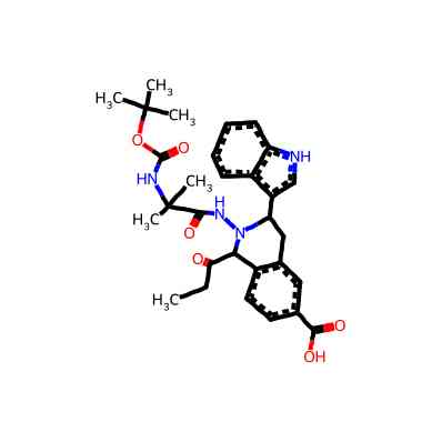 CCC(=O)C1c2ccc(C(=O)O)cc2CC(c2c[nH]c3ccccc23)N1NC(=O)C(C)(C)NC(=O)OC(C)(C)C